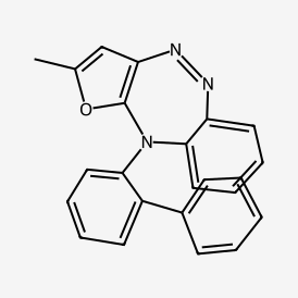 Cc1cc2c(o1)N(c1ccccc1-c1ccccc1)c1ccccc1N=N2